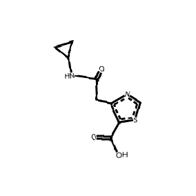 O=C(Cc1ncsc1C(=O)O)NC1CC1